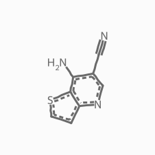 N#Cc1cnc2ccsc2c1N